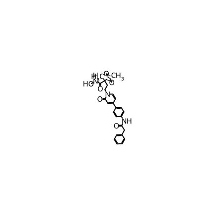 CC(CCn1ccc(-c2ccc(NC(=O)Cc3ccccc3)cc2)cc1=O)(C(=O)NO)S(C)(=O)=O